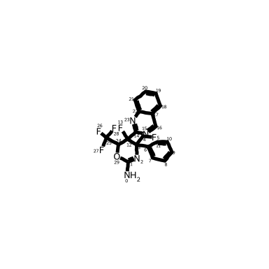 NC1=NC(CF)(c2ccccc2)C(F)(c2ncc3ccccc3n2)C(C(F)(F)F)O1